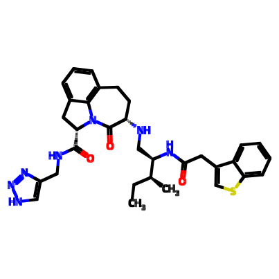 CC[C@H](C)[C@@H](CN[C@H]1CCc2cccc3c2N(C1=O)[C@H](C(=O)NCc1c[nH]nn1)C3)NC(=O)Cc1csc2ccccc12